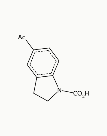 CC(=O)c1ccc2c(c1)CCN2C(=O)O